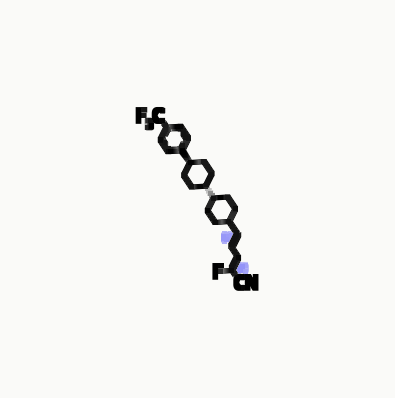 N#C/C(F)=C/C=C/C1CCC([C@H]2CC[C@H](c3ccc(C(F)(F)F)cc3)CC2)CC1